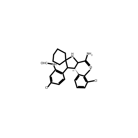 NC(=O)C1NC2(CCCCC2)C(c2ccc(Cl)cc2NC=O)[C@H]1c1cccc(Cl)c1F